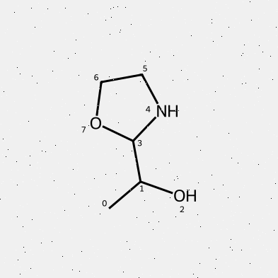 CC(O)C1NCCO1